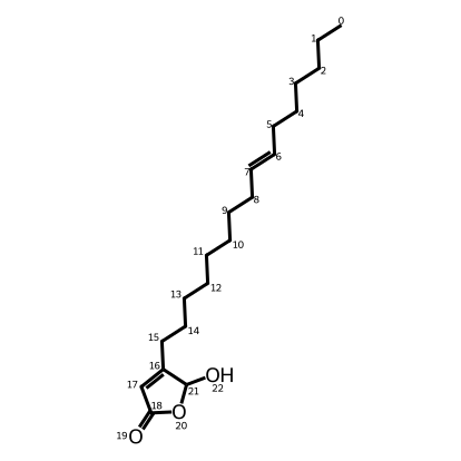 CCCCCCC=CCCCCCCCCC1=CC(=O)OC1O